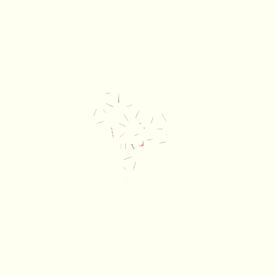 C=C/C=C(\C=C/C)c1ccccc1N(c1ccc(-c2ccc(Br)cc2)cc1)c1ccc2c(c1)C1(c3ccccc3-c3ccccc31)c1ccccc1-2